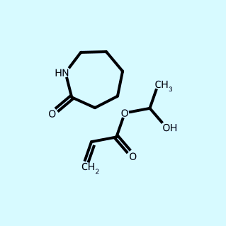 C=CC(=O)OC(C)O.O=C1CCCCCN1